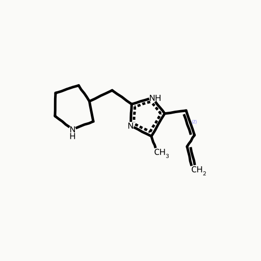 C=C/C=C\c1[nH]c(CC2CCCNC2)nc1C